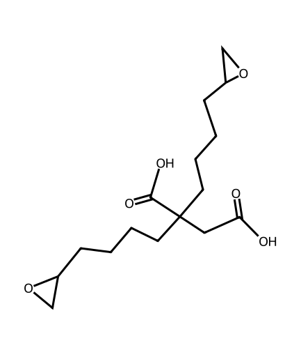 O=C(O)CC(CCCCC1CO1)(CCCCC1CO1)C(=O)O